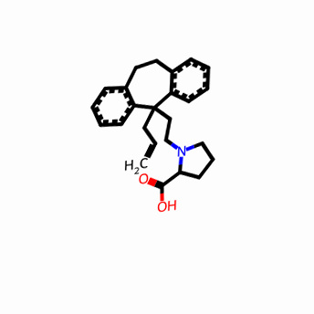 C=CCC1(CCN2CCCC2C(=O)O)c2ccccc2CCc2ccccc21